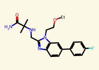 CCOCCn1c(CNC(C)(C)C(N)=O)nc2ccc(-c3ccc(F)cc3)cc21